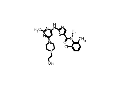 Cc1nc(Nc2ncc(C(=O)N(C)c3c(C)cccc3Cl)s2)cc(N2CCN(CCO)CC2)n1